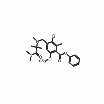 CCCCOc1cc(CN(C)C(C)(C)C(=O)N(C)C)c(Cl)c(C)c1C(=O)Oc1ccccc1